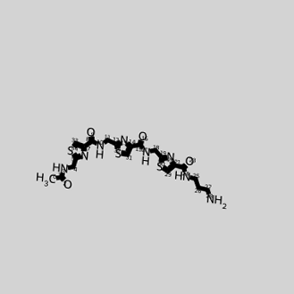 CC(=O)NCc1nc(C(=O)NCc2nc(C(=O)NCc3nc(C(=O)NCCCN)cs3)cs2)cs1